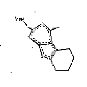 CNc1nc(C)c2c3c(sc2n1)CCCC3